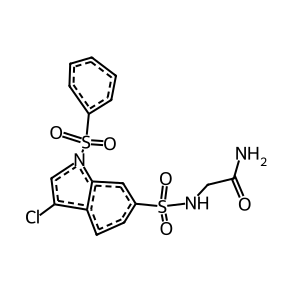 NC(=O)CNS(=O)(=O)c1ccc2c(Cl)cn(S(=O)(=O)c3ccccc3)c2c1